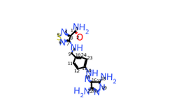 NC(=O)c1nsnc1NCc1ccc(NN=C2C(N)=NN=C2N)cc1